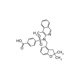 Cc1c(N(Cc2cccc3c2CC(C)(C)O3)S(=O)(=O)c2ccc(C(=O)O)cc2)ncc2ccccc12